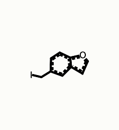 ICc1ccc2occc2c1